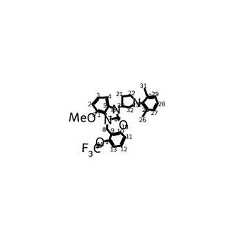 COc1cccc2c1n(Cc1ccccc1OC(F)(F)F)c(=O)n2[C@@H]1CCN(c2c(C)cccc2C)C1